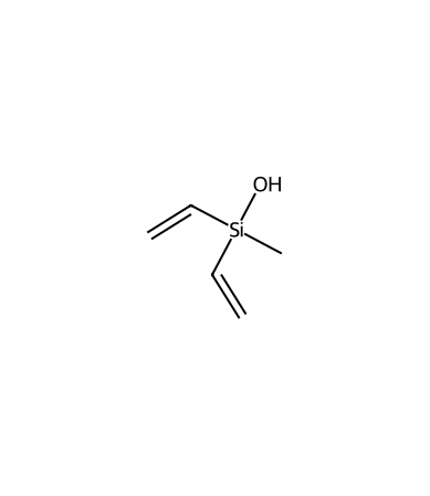 C=C[Si](C)(O)C=C